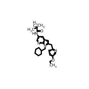 CCOc1ccc(Cc2cc3cc(NC(=O)C(C)(C)C)cnc3n2CC2CCCCC2)nc1